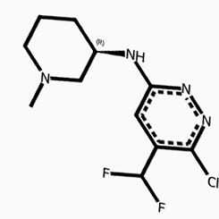 CN1CCC[C@@H](Nc2cc(C(F)F)c(Cl)nn2)C1